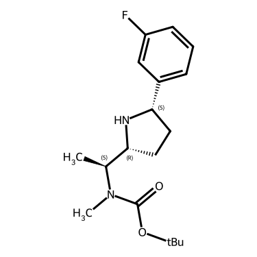 C[C@@H]([C@H]1CC[C@@H](c2cccc(F)c2)N1)N(C)C(=O)OC(C)(C)C